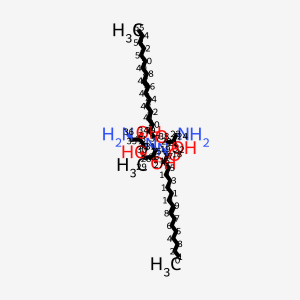 CCCCCCCCC=CCCCCCCCC(=O)N(CC(O)CN)C(C(O)C(C)O)N(CC(O)CN)C(=O)CCCCCCCC=CCCCCCCCC